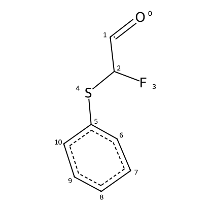 O=[C]C(F)Sc1ccccc1